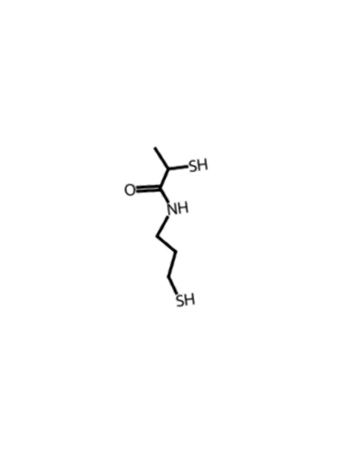 CC(S)C(=O)NCCCS